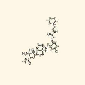 CNC(=O)[C@H]1O[C@@H](n2cnc3c(NCc4cc(Cl)ccc4OCC(=O)NCCc4ccccc4)ncnc32)[C@H](O)[C@@H]1N